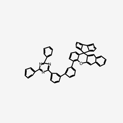 c1ccc(-c2nc(-c3ccccc3)nc(-c3cccc(-c4cccc(-c5cccc6c5Oc5cc7ccccc7cc5C65c6ccccc6-c6ccccc65)c4)c3)n2)cc1